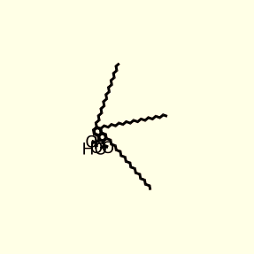 CCCCCCCCCCCCCCCCCCc1cc2c(CCCCCCCCCCCCCCCCCC)c(CCCCCCCCCCCCCCCCCC)ccc2c(I(=O)=O)c1C(=O)O